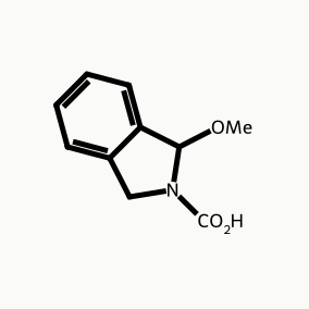 COC1c2ccccc2CN1C(=O)O